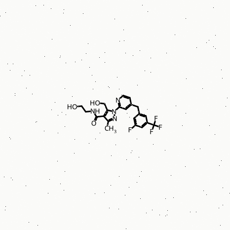 Cc1nn(-c2cc(Cc3cc(F)cc(C(F)(F)F)c3)ccn2)c(CO)c1C(=O)NCCO